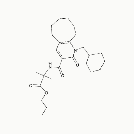 CCCOC(=O)C(C)(C)NC(=O)c1cc2c(n(CC3CCCCC3)c1=O)CCCCCC2